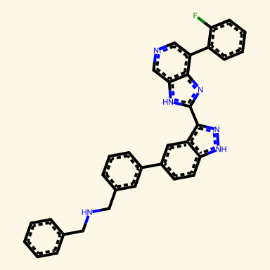 Fc1ccccc1-c1cncc2[nH]c(-c3n[nH]c4ccc(-c5cccc(CNCc6ccccc6)c5)cc34)nc12